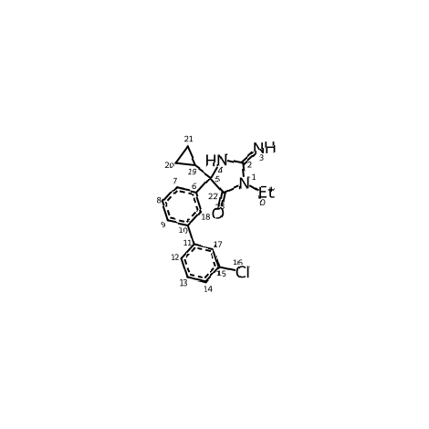 CCN1C(=N)NC(c2cccc(-c3cccc(Cl)c3)c2)(C2CC2)C1=O